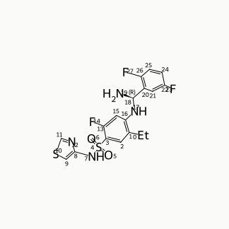 CCc1cc(S(=O)(=O)Nc2cscn2)c(F)cc1N[C@@H](N)c1cc(F)ccc1F